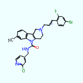 N#Cc1ccc2c3c(n(C(=O)NCc4ccnc(Cl)c4)c2c1)CCN(C/C=C/c1ccc(Br)cc1F)C3